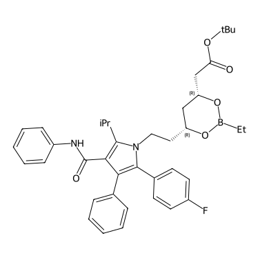 CCB1O[C@H](CCn2c(-c3ccc(F)cc3)c(-c3ccccc3)c(C(=O)Nc3ccccc3)c2C(C)C)C[C@H](CC(=O)OC(C)(C)C)O1